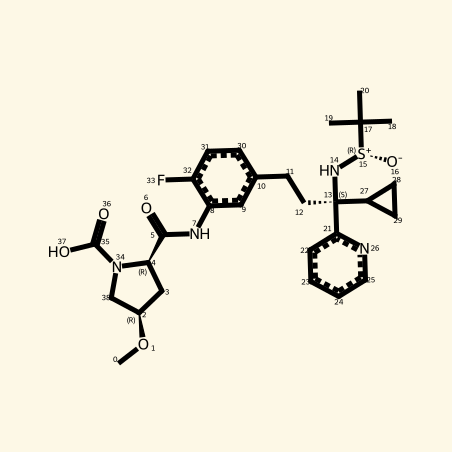 CO[C@@H]1C[C@H](C(=O)Nc2cc(CC[C@@](N[S@@+]([O-])C(C)(C)C)(c3ccccn3)C3CC3)ccc2F)N(C(=O)O)C1